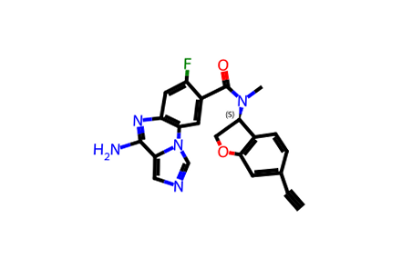 C#Cc1ccc2c(c1)OC[C@H]2N(C)C(=O)c1cc2c(cc1F)nc(N)c1cncn12